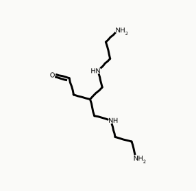 NCCNCC(CC=O)CNCCN